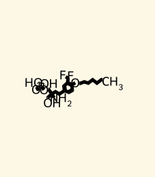 CCCCCCCOc1ccc(CCC(N)(CO)COP(=O)(O)O)cc1C(F)F